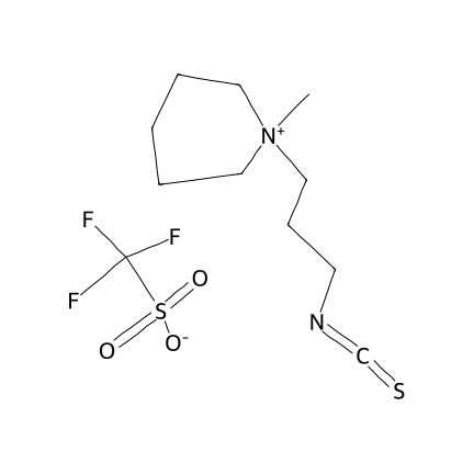 C[N+]1(CCCN=C=S)CCCCC1.O=S(=O)([O-])C(F)(F)F